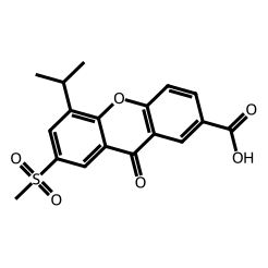 CC(C)c1cc(S(C)(=O)=O)cc2c(=O)c3cc(C(=O)O)ccc3oc12